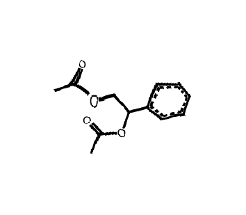 CC(=O)OCC(OC(C)=O)c1ccccc1